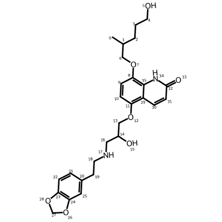 CC(CCCO)COc1ccc(OCC(O)CNCCc2ccc3c(c2)OCO3)c2ccc(=O)[nH]c12